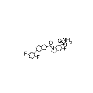 NS(=O)(=O)c1cc2c(cc1F)CCN2C(=O)[C@@H]1Cc2ccc(-c3cc(F)ccc3F)cc2C1